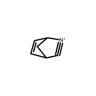 C1#[N+]C2C=CC1C2